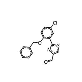 O=Cc1csc(-c2cc(Cl)ccc2OCc2ccccc2)n1